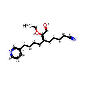 CCOC(C=O)=C(CCCCC#N)CCCCc1cccnc1